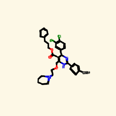 COc1ccc(C2=NC(c3ccc(Cl)c(Cl)c3)C(C(=O)OCCCc3ccccc3)=C(COCCN3CCCCC3)N2)cc1